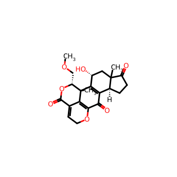 COC[C@H]1OC(=O)C2=CCOC3=C2C1(C)C1=C(C3=O)[C@@H]2CCC(=O)C2(C)C[C@H]1O